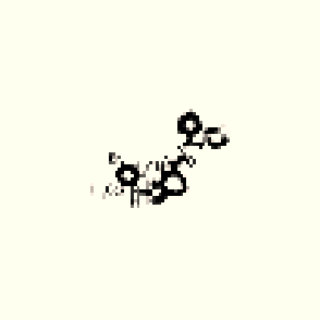 COc1cc(Br)ccc1Nc1ncc2c(n1)-c1c(c(C(=O)N[C@H](CN3CCOCC3)c3ccccc3)nn1C)CCC2